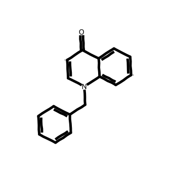 O=c1[c]cn(Cc2ccccc2)c2c[c]ccc12